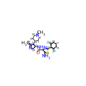 CN1CCC(c2c(NC(=O)c3nc(-c4c(F)cccc4F)sc3N)cnn2C)CC1